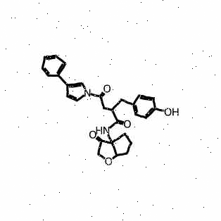 O=C(NC12CCCC1OCC2=O)C(CC(=O)n1ccc(-c2ccccc2)c1)Cc1ccc(O)cc1